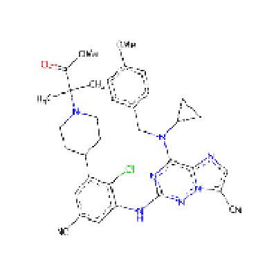 COC(=O)C(C)(C)N1CCC(c2cc(C#N)cc(Nc3nc(N(Cc4ccc(OC)cc4)C4CC4)c4ncc(C#N)n4n3)c2Cl)CC1